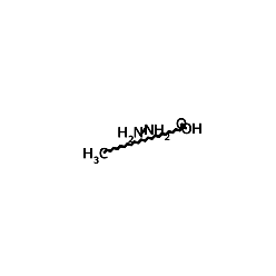 CCCCCCCCCCCCCCCCCCCCCCCC(=O)O.NCCN